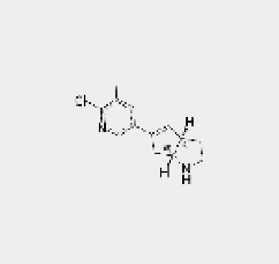 Cc1cc(C2=C[C@@H]3CCN[C@@H]3C2)cnc1Cl